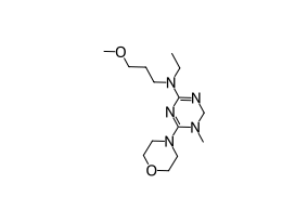 CCN(CCCOC)C1=NCN(C)C(N2CCOCC2)=N1